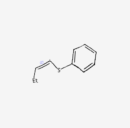 CC/C=[C]\Sc1ccccc1